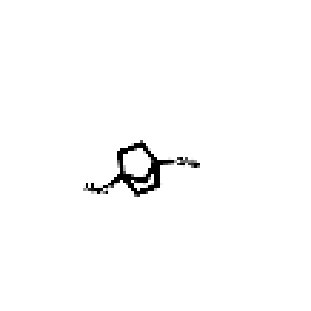 COC12CCC(OC)(CC1)C2